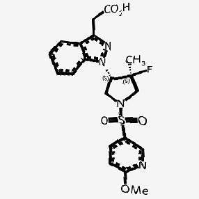 COc1ccc(S(=O)(=O)N2C[C@H](n3nc(CC(=O)O)c4ccccc43)[C@@](C)(F)C2)cn1